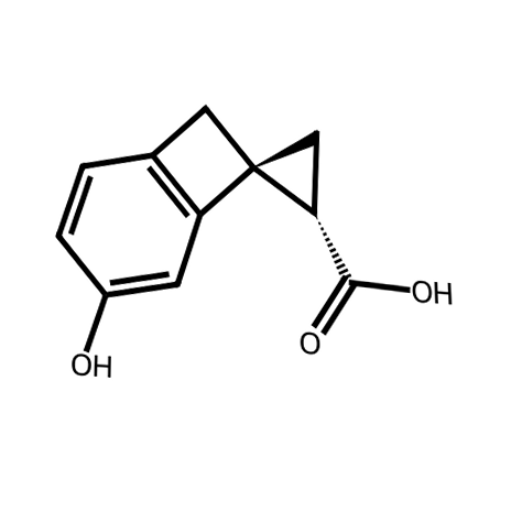 O=C(O)[C@H]1C[C@@]12Cc1ccc(O)cc12